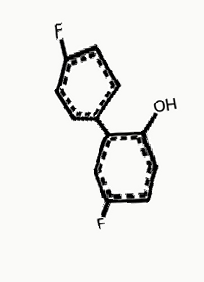 Oc1ccc(F)cc1-c1ccc(F)cc1